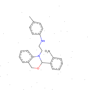 Cc1ccc(NCCN2c3ccccc3COC2c2ccccc2[N+](=O)[O-])cc1